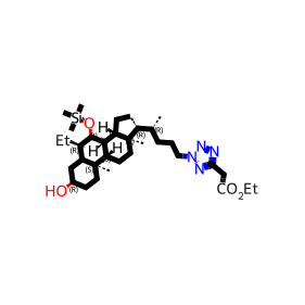 CCOC(=O)Cc1nnn(CCC[C@@H](C)[C@H]2CC[C@H]3[C@@H]4[C@H](O[Si](C)(C)C)[C@H](CC)C5C[C@H](O)CC[C@]5(C)[C@H]4CC[C@]23C)n1